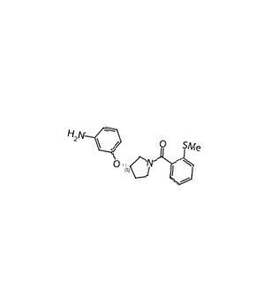 CSc1ccccc1C(=O)N1CC[C@H](Oc2cccc(N)c2)C1